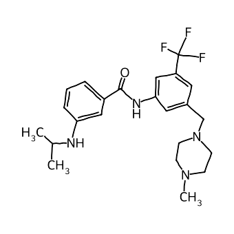 CC(C)Nc1cccc(C(=O)Nc2cc(CN3CCN(C)CC3)cc(C(F)(F)F)c2)c1